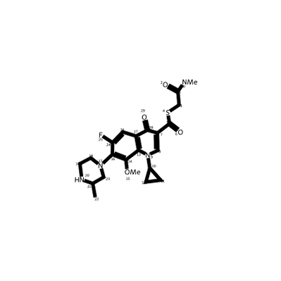 CNC(=O)CSC(=O)c1cn(C2CC2)c2c(OC)c(N3CCNC(C)C3)c(F)cc2c1=O